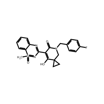 CS1(=O)=NC(C2=C(O)C3(CC3)CN(Cc3ccc(F)cc3)C2=O)=Nc2ccccc21